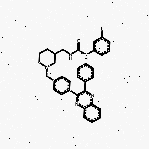 O=C(NCC1CCCN(Cc2ccc(-c3nc4ccccc4nc3-c3ccccc3)cc2)C1)Nc1cccc(F)c1